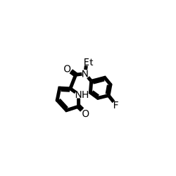 CCN(C(=O)c1cccc(=O)[nH]1)c1ccc(F)cc1